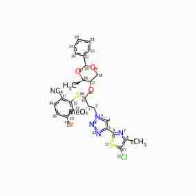 CO[C@@H](Cn1cc(-c2nc(C)c(Cl)s2)nn1)C(OC1COC(c2ccccc2)O[C@@H]1C)Sc1cc(Br)ccc1C#N